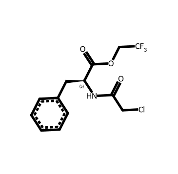 O=C(CCl)N[C@@H](Cc1ccccc1)C(=O)OCC(F)(F)F